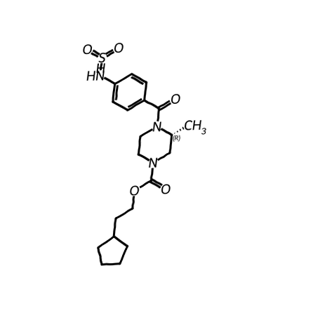 C[C@@H]1CN(C(=O)OCCC2CCCC2)CCN1C(=O)c1ccc(N[SH](=O)=O)cc1